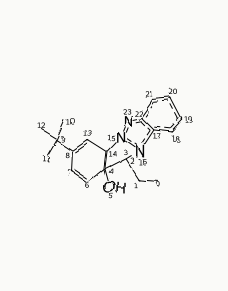 CCC(C)C1(O)C=CC(C(C)(C)C)=CC1n1nc2ccccc2n1